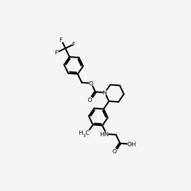 Cc1ccc(C2CCCCN2C(=O)OCc2ccc(C(F)(F)F)cc2)cc1NCC(=O)O